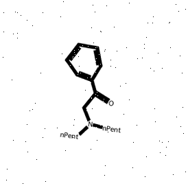 CCCCCN(CCCCC)CC(=O)c1ccccc1